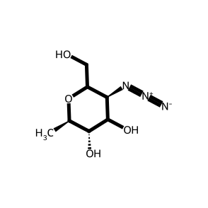 C[C@H]1OC(CO)[C@@H](N=[N+]=[N-])C(O)[C@@H]1O